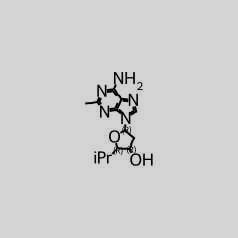 Cc1nc(N)c2ncn([C@H]3C[C@@H](O)[C@@H](C(C)C)O3)c2n1